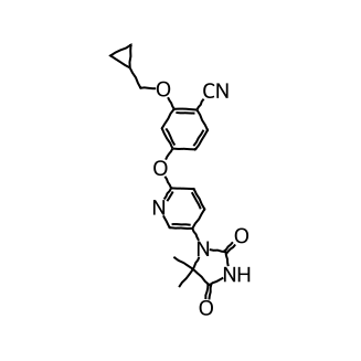 CC1(C)C(=O)NC(=O)N1c1ccc(Oc2ccc(C#N)c(OCC3CC3)c2)nc1